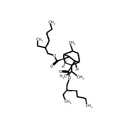 CCCCC(CC)COC(=O)[C@H]1C2CC(C(C)C)C(CC2C)[C@@H]1C(=O)OCC(CC)CCCC